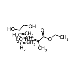 C=C.C=C.C=C.C=C(C)C(=O)OCC.OCCO